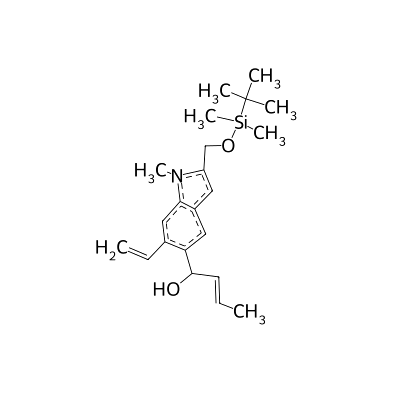 C=Cc1cc2c(cc1C(O)C=CC)cc(CO[Si](C)(C)C(C)(C)C)n2C